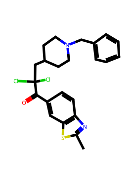 Cc1nc2ccc(C(=O)C(Cl)(Cl)CC3CCN(Cc4ccccc4)CC3)cc2s1